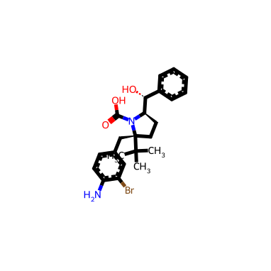 CC(C)(C)[C@@]1(Cc2ccc(N)c(Br)c2)CC[C@H]([C@H](O)c2ccccc2)N1C(=O)O